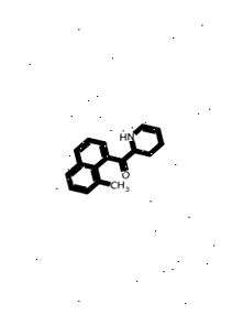 Cc1cccc2cccc(C(=O)C3CCC=CN3)c12